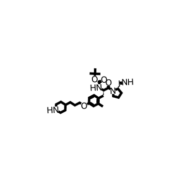 Cc1cc(OCCCC2CCNCC2)ccc1C[C@H](NC(=O)OC(C)(C)C)C(=O)N1CCC[C@H]1I=N